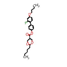 CCCCCC1OCC(C(=O)Oc2ccc(-c3ccc(OCCCC)cc3F)cc2)CO1